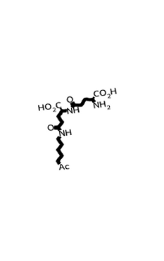 CC(=O)CCCCCNC(=O)CC[C@H](NC(=O)CC[C@H](N)C(=O)O)C(=O)O